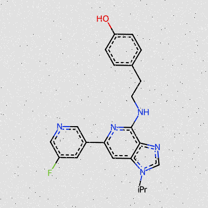 CC(C)n1cnc2c(NCCc3ccc(O)cc3)nc(-c3cncc(F)c3)cc21